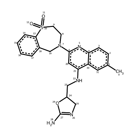 Cc1ccc2nc(N3CCS(=O)(=O)c4ccccc4C3)cc(NCC3CN=C(N)O3)c2c1